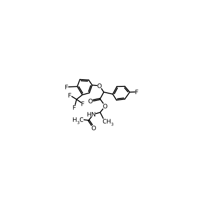 CC(=O)NC(C)OC(=O)C(Oc1ccc(F)c(C(F)(F)F)c1)c1ccc(F)cc1